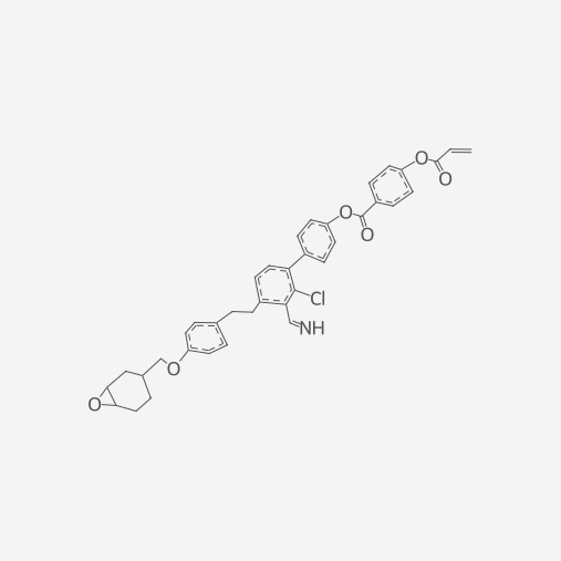 C=CC(=O)Oc1ccc(C(=O)Oc2ccc(-c3ccc(CCc4ccc(OCC5CCC6OC6C5)cc4)c(C=N)c3Cl)cc2)cc1